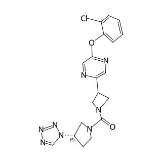 O=C(N1CC(c2cnc(Oc3ccccc3Cl)cn2)C1)N1CC[C@H](n2cnnn2)C1